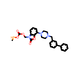 CPOC(=O)OCn1c(=O)oc2c(N3CCN(Cc4cccc(-c5ccccc5)c4)CC3)cccc21